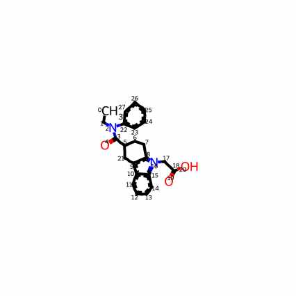 CCN(C(=O)C1CCc2c(c3ccccc3n2CC(=O)O)C1)c1ccccc1